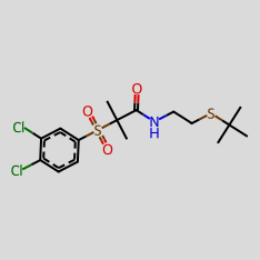 CC(C)(C)SCCNC(=O)C(C)(C)S(=O)(=O)c1ccc(Cl)c(Cl)c1